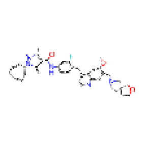 C=C1C(C(=O)Nc2ccc(Cc3ccnc4cc(CN5CCC6(CCOC6)C5)c(OC)cc34)c(F)c2)=C(C)N(C)N1C1=CC=CCC=C1